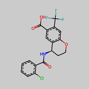 O=C(N[C@@H]1CCOc2cc(C(F)(F)F)c(C(=O)O)cc21)c1ccccc1Cl